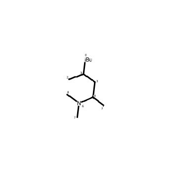 CCC(C)C(C)CC(C)N(C)C